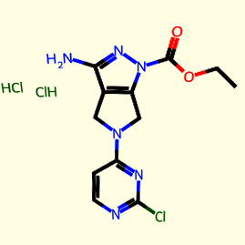 CCOC(=O)n1nc(N)c2c1CN(c1ccnc(Cl)n1)C2.Cl.Cl